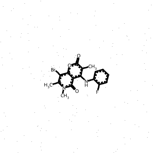 Cc1c(Nc2ccccc2F)c2c(=O)n(C)c(C)c(Br)c2oc1=O